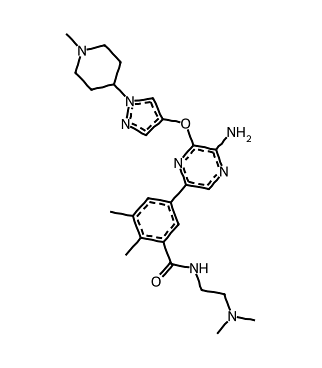 Cc1cc(-c2cnc(N)c(Oc3cnn(C4CCN(C)CC4)c3)n2)cc(C(=O)NCCN(C)C)c1C